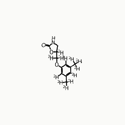 [2H]c1c(OC([2H])([2H])C2([2H])CNC(=O)O2)c([2H])c(C([2H])([2H])[2H])c([2H])c1C([2H])([2H])[2H]